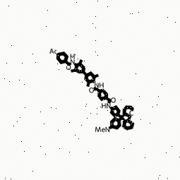 CNc1ccc(C2(c3ccc(NC(=O)c4ccc(C(=O)Nc5c(C)cc(-c6cc(C)c(NC(=O)c7ccc(C(C)=O)cc7)c(C)c6)cc5C)cc4)cc3)c3ccccc3-c3ccccc32)cc1